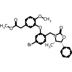 COC(=O)Cc1ccc(OC)c(Oc2cc(Br)ccc2CN2C(=O)O[C@H](c3ccccc3)[C@@H]2C)c1